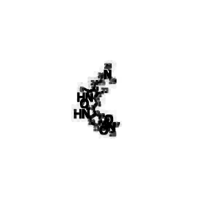 Cc1[nH]c(/C=C2\C(=O)Nc3ccc(S(=O)(=O)N(C)C)cc32)c(C)c1CCCN(C)C